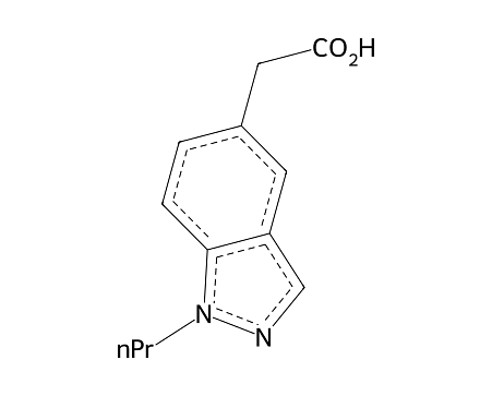 CCCn1ncc2cc(CC(=O)O)ccc21